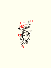 C[C@]12CCC(=O)C[C@@H]1CC[C@@H]1[C@@H]2C(=O)C[C@@]2(C)[C@H]1CC[C@]2(O)C(O)CO